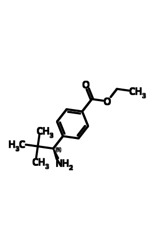 CCOC(=O)c1ccc([C@@H](N)C(C)(C)C)cc1